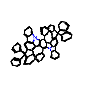 c1ccc(-c2c3c4c5c(cc6c7ccccc7n(c3c(-c3ccccc3)c3c7c8c(cc9c%10ccccc%10n(c23)c97)C(c2ccccc2)(c2ccccc2)c2ccccc2-8)c64)C(c2ccccc2)(c2ccccc2)c2ccccc2-5)cc1